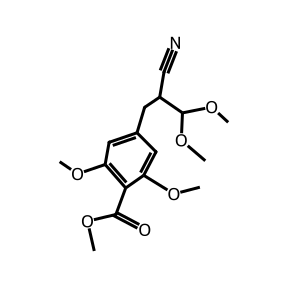 COC(=O)c1c(OC)cc(CC(C#N)C(OC)OC)cc1OC